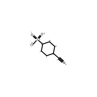 N#CC1CCC(S(=O)(=O)Cl)CC1